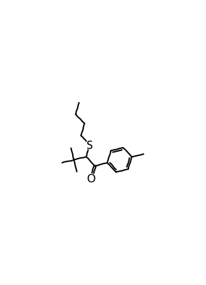 CCCCSC(C(=O)c1ccc(C)cc1)C(C)(C)C